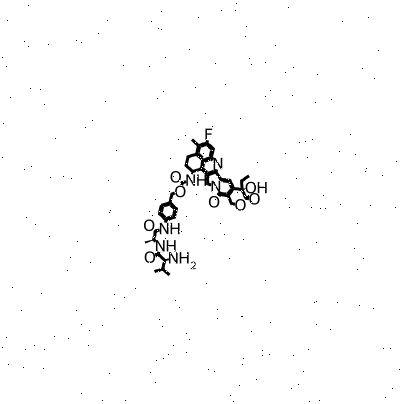 CC[C@@]1(O)C(=O)OCc2c1cc1n(c2=O)Cc2c-1nc1cc(F)c(C)c3c1c2[C@@H](NC(=O)OCc1ccc(NC(=O)[C@H](C)NC(=O)[C@@H](N)C(C)C)cc1)CC3